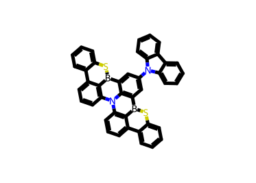 c1ccc2c(c1)SB1c3cc(-n4c5ccccc5c5ccccc54)cc4c3N(c3cccc-2c31)c1cccc2c1B4Sc1ccccc1-2